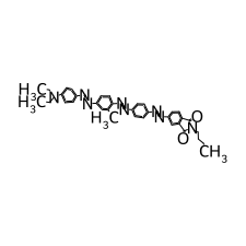 CCCCN1C(=O)c2ccc(N=Nc3ccc(N=Nc4ccc(N=Nc5ccc(N(CC)CC)cc5)cc4C)cc3)cc2C1=O